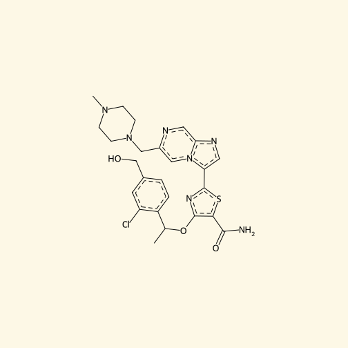 CC(Oc1nc(-c2cnc3cnc(CN4CCN(C)CC4)cn23)sc1C(N)=O)c1ccc(CO)cc1Cl